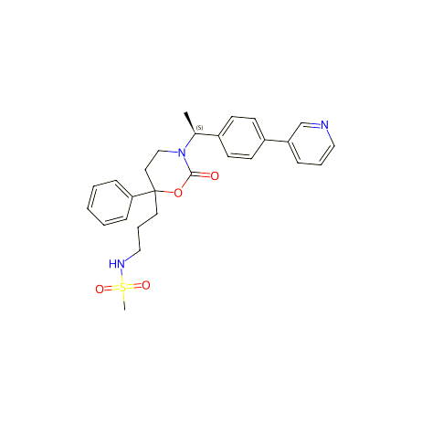 C[C@@H](c1ccc(-c2cccnc2)cc1)N1CCC(CCCNS(C)(=O)=O)(c2ccccc2)OC1=O